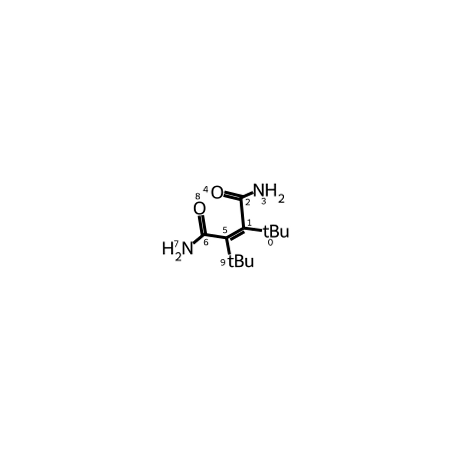 CC(C)(C)/C(C(N)=O)=C(/C(N)=O)C(C)(C)C